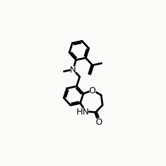 C=C(C)c1ccccc1N(C)Cc1cccc2c1OCCC(=O)N2